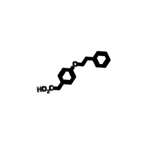 O=C(O)Cc1ccc(OCCc2ccccc2)cc1